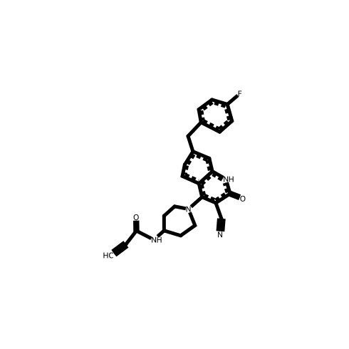 C#CC(=O)NC1CCN(c2c(C#N)c(=O)[nH]c3cc(Cc4ccc(F)cc4)ccc23)CC1